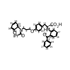 CC(C)C(=O)N(CCCOc1ccc(C[C@H](Nc2ccccc2C(=O)c2ccccc2)C(=O)O)cc1)c1ccccc1Cl